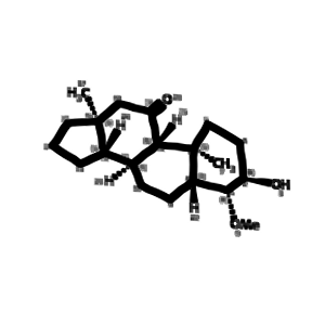 CO[C@H]1[C@H](O)CC[C@@]2(C)[C@H]1CC[C@H]1[C@@H]3CCC[C@@]3(C)CC(=O)[C@@H]12